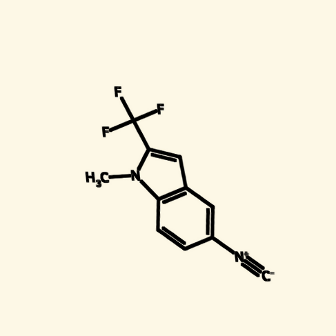 [C-]#[N+]c1ccc2c(c1)cc(C(F)(F)F)n2C